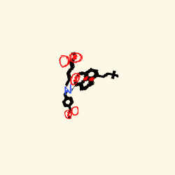 COC(=O)CCCCN(Cc1ccc(C(=O)OC)cc1)C[C@H](OCc1ccc(CCC(C)(C)C)cc1)c1ccccc1